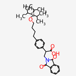 CC(C)[Si](OCCCCc1ccc(C(CN2C(=O)c3ccccc3C2=O)C(=O)O)cc1)(C(C)C)C(C)C